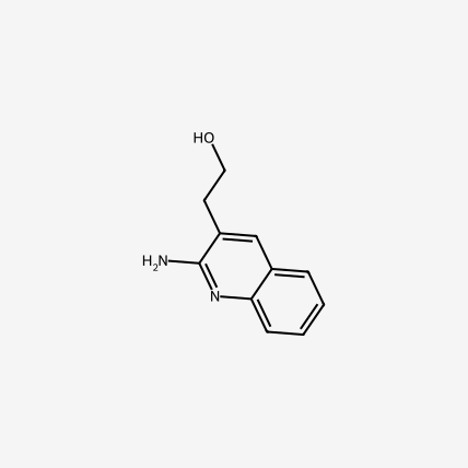 Nc1nc2ccccc2cc1CCO